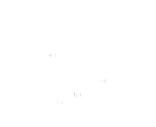 CCC(C)NCC(O)c1scc(C)c1C.Cl